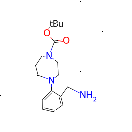 CC(C)(C)OC(=O)N1CCCN(c2ccccc2CN)CC1